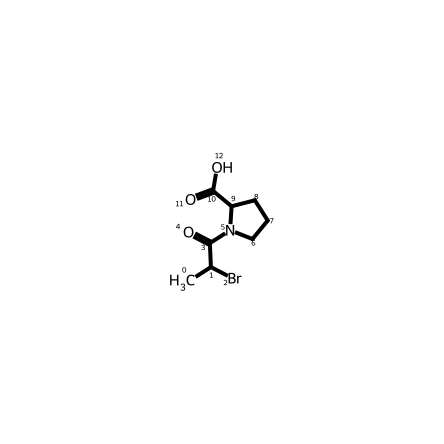 CC(Br)C(=O)N1CCCC1C(=O)O